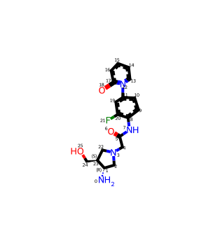 N[C@H]1CN(CC(=O)Nc2ccc(-n3ccccc3=O)cc2F)C[C@@H]1CO